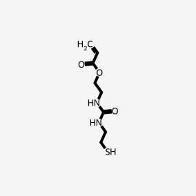 C=CC(=O)OCCNC(=O)NCCS